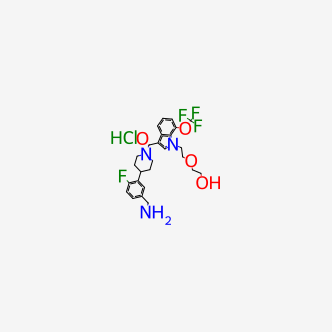 Cl.NCc1ccc(F)c(C2CCN(C(=O)c3cn(CCOCCO)c4c(OC(F)(F)F)cccc34)CC2)c1